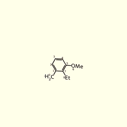 [CH2]c1cccc(OC)c1CC